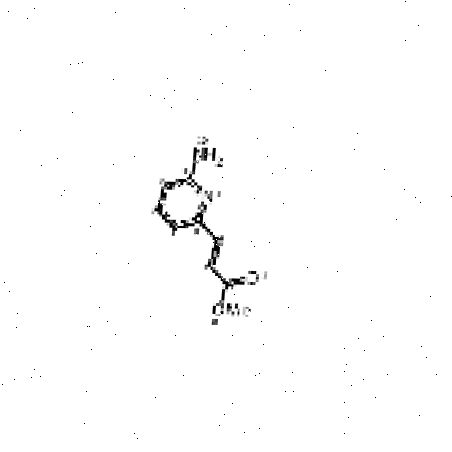 COC(=O)C=Cc1cccc(N)n1